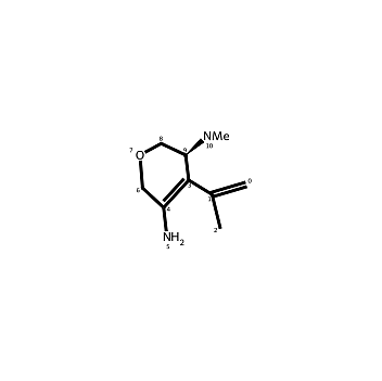 C=C(C)C1=C(N)COC[C@H]1NC